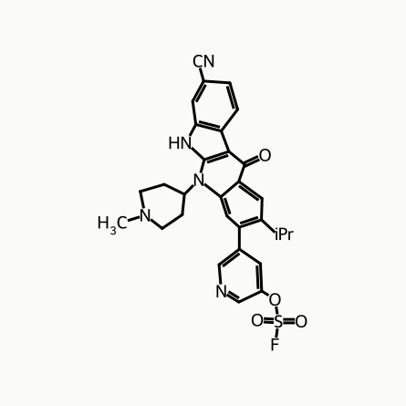 CC(C)c1cc2c(=O)c3c4ccc(C#N)cc4[nH]c3n(C3CCN(C)CC3)c2cc1-c1cncc(OS(=O)(=O)F)c1